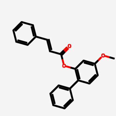 COc1ccc(-c2ccccc2)c(OC(=O)C=Cc2ccccc2)c1